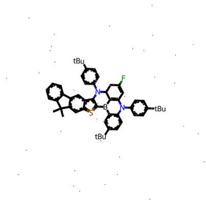 CC(C)(C)c1ccc(N2C3=C4B(c5cc(C(C)(C)C)ccc52)c2sc5cc6c(cc5c2N(c2ccc(C(C)(C)C)cc2)C4CC(F)=C3)-c2ccccc2C6(C)C)cc1